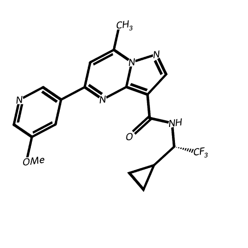 COc1cncc(-c2cc(C)n3ncc(C(=O)N[C@@H](C4CC4)C(F)(F)F)c3n2)c1